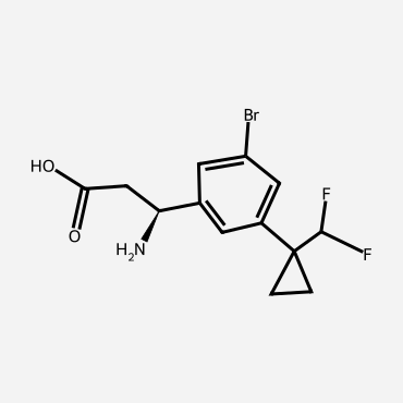 N[C@@H](CC(=O)O)c1cc(Br)cc(C2(C(F)F)CC2)c1